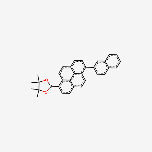 CC1(C)OB(c2ccc3ccc4c(-c5ccc6ccccc6c5)ccc5ccc2c3c54)OC1(C)C